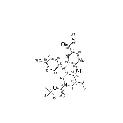 CC[C@H]1CN(C(=O)OC(C)(C)C)CC[C@@H]1Nc1ncc(C(=O)OC)nc1Cc1ccc(F)cc1